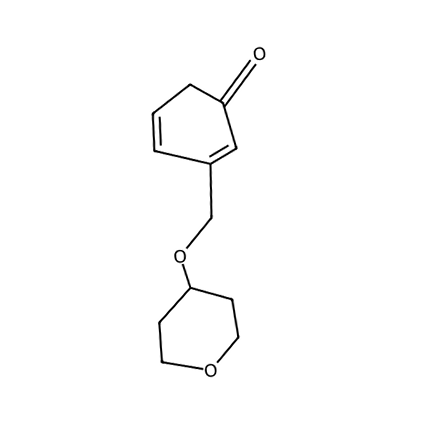 O=C1C=C(COC2CCOCC2)C=CC1